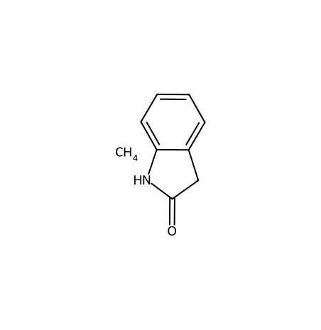 C.O=C1Cc2ccccc2N1